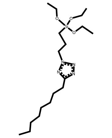 CCCCCCCCc1nnn(CCC[Si](OCC)(OCC)OCC)n1